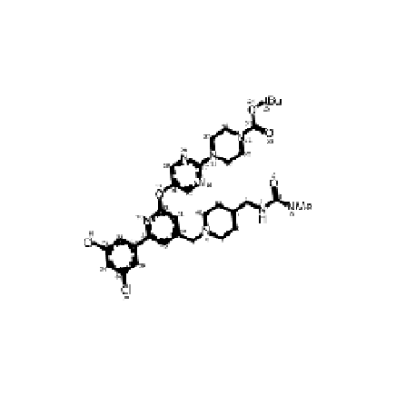 CNC(=O)NCC1CCN(Cc2cc(Oc3cnc(N4CCN(C(=O)OC(C)(C)C)CC4)nc3)nc(-c3cc(Cl)cc(Cl)c3)c2)CC1